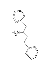 NC(CCc1ccccc1)Cc1ccccc1